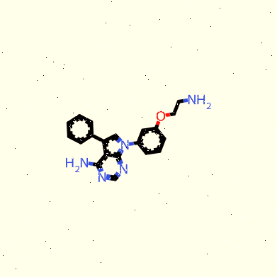 NCCOc1cccc(-n2cc(-c3ccccc3)c3c(N)ncnc32)c1